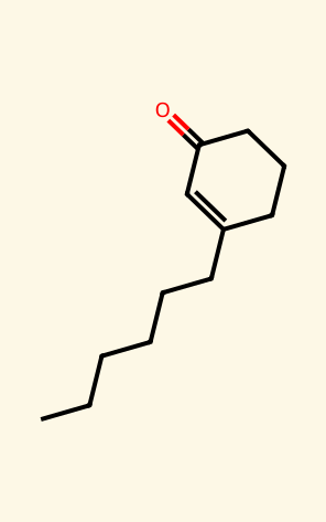 CCCCCCC1=CC(=O)CCC1